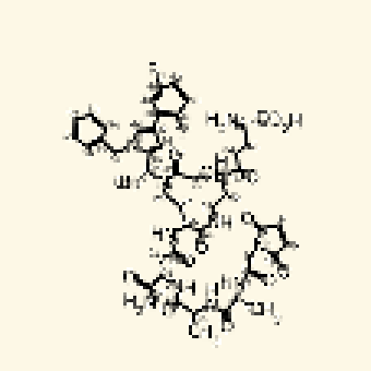 C[C@H](NC(=O)CN1C(=O)C=CC1=O)C(=O)N[C@@H](C)C(=O)N[C@@H](CC(=O)N[C@@H](CCN(C(=O)CO)[C@@H](c1cc(-c2cc(F)ccc2F)cn1Cc1ccccc1)C(C)(C)C)C(=O)NCCNC(=O)CC[C@H](N)C(=O)O)C(N)=O